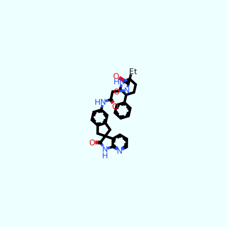 CCC12CCC(c3ccccc3)(C(=O)N1)N(CC(=O)Nc1ccc3c(c1)CC1(C3)C(=O)Nc3ncccc31)C2=O